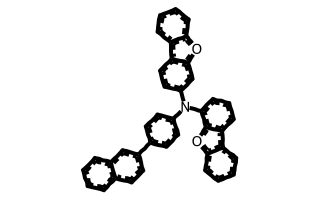 c1ccc2cc(-c3ccc(N(c4ccc5c(c4)oc4ccccc45)c4cccc5c4oc4ccccc45)cc3)ccc2c1